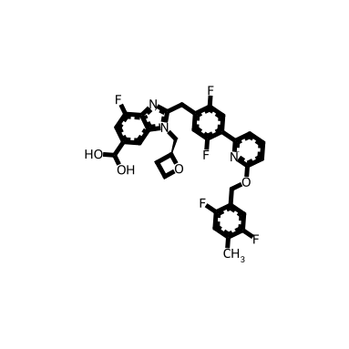 Cc1cc(F)c(COc2cccc(-c3cc(F)c(Cc4nc5c(F)cc(C(O)O)cc5n4C[C@@H]4CCO4)cc3F)n2)cc1F